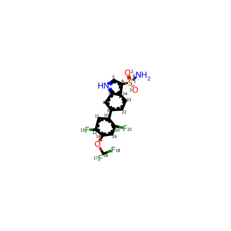 NS(=O)(=O)c1c[nH]c2cc(-c3cc(F)c(OC(F)F)cc3F)ccc12